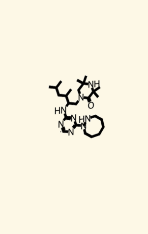 CC(C)CC(C)C(CN1CC(C)(C)NC(C)(C)C1=O)Nc1n[c]nc(N2CCCCCCN2)n1